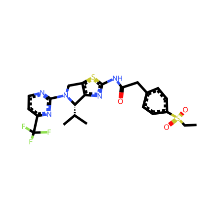 CCS(=O)(=O)c1ccc(CC(=O)Nc2nc3c(s2)CN(c2nccc(C(F)(F)F)n2)[C@H]3C(C)C)cc1